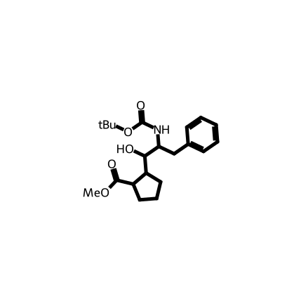 COC(=O)C1CCCC1C(O)C(Cc1ccccc1)NC(=O)OC(C)(C)C